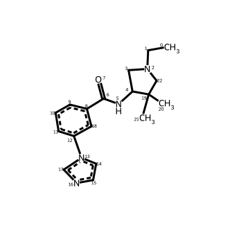 CCN1CC(NC(=O)c2cccc(-n3ccnc3)c2)C(C)(C)C1